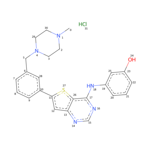 CN1CCN(Cc2cccc(-c3cc4ncnc(Nc5cccc(O)c5)c4s3)c2)CC1.Cl